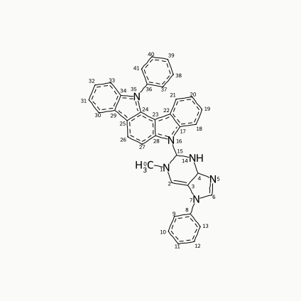 CN1C=C2C(N=CN2c2ccccc2)NC1n1c2ccccc2c2c3c(ccc21)c1ccccc1n3-c1ccccc1